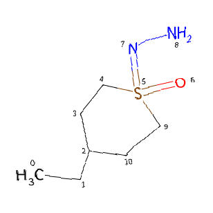 CCC1CCS(=O)(=NN)CC1